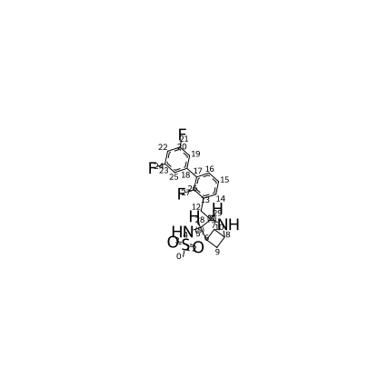 CS(=O)(=O)N[C@H]1C2CC(C2)N[C@H]1Cc1cccc(-c2cc(F)cc(F)c2)c1F